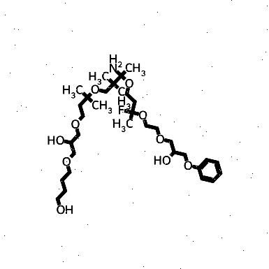 CC(C)(CCOCC(O)COCCCCO)OCC(C)(C)C(C)(N)OCCC(C)(F)OCCOCC(O)COc1ccccc1